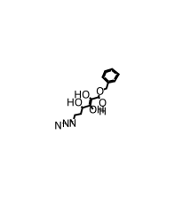 [N-]=[N+]=NCCC(O)/C(O)=C(\O)C(O)OCc1ccccc1